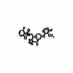 Cc1c(F)ncnc1OC1CCN(C(CNC(=O)c2c(F)cccc2Cl)c2scnc2C(F)F)CC1